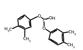 Cc1ccc(OP(O)Oc2ccc(C)c(C)c2)cc1C